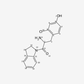 NC(Cc1ccc(O)cc1Cl)C(=O)N1CCc2ccccc21